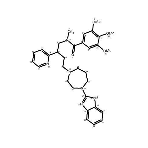 COc1cc(C(=O)N(C)CC(CCN2CCCN(c3nc4ccccc4[nH]3)CC2)c2ccccn2)cc(OC)c1OC